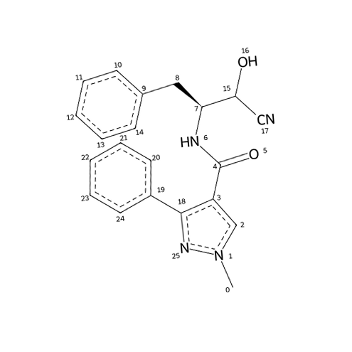 Cn1cc(C(=O)N[C@@H](Cc2ccccc2)C(O)C#N)c(-c2ccccc2)n1